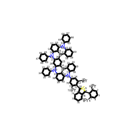 CC(C)c1cccc(C(C)C)c1-c1sc(-c2c(C(C)C)cc(N3c4ccccc4B4c5cc6c(cc5N(c5ccccc5)c5cccc3c54)N(c3ccccc3)c3cccc4c3B6c3ccccc3N4c3ccccc3)cc2C(C)C)c2ccccc12